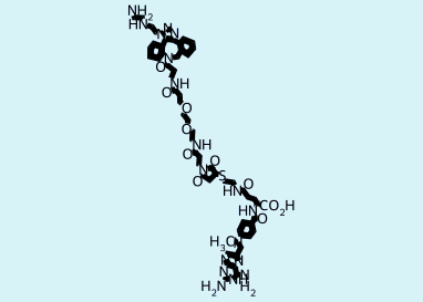 CN(Cc1cnc2c(n1)C(N)NC(N)=N2)c1ccc(C(=O)N[C@@H](CCC(=O)NCCSC2CC(=O)N(CCC(=O)NCCOCCOCCC(=O)NCCC(=O)N3Cc4ccccc4-c4nnn(CCNCCN)c4-c4ccccc43)C2=O)C(=O)O)cc1